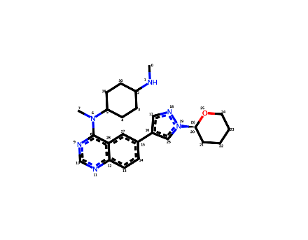 CNC1CCC(N(C)c2ncnc3ccc(-c4cnn([C@@H]5CCCCO5)c4)cc23)CC1